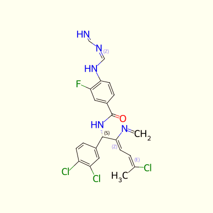 C=N/C(=C\C=C(/C)Cl)[C@@H](NC(=O)c1ccc(N/C=N\C=N)c(F)c1)c1ccc(Cl)c(Cl)c1